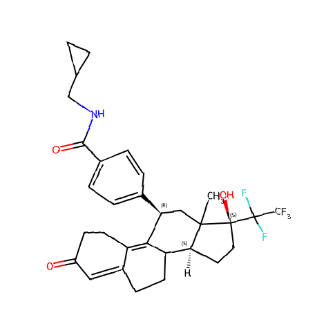 CC12C[C@H](c3ccc(C(=O)NCC4CC4)cc3)C3=C4CCC(=O)C=C4CCC3[C@@H]1CC[C@@]2(O)C(F)(F)C(F)(F)F